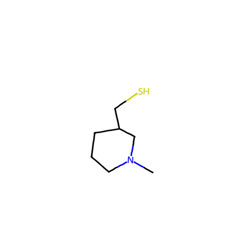 CN1CCCC(CS)C1